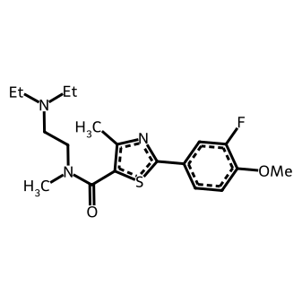 CCN(CC)CCN(C)C(=O)c1sc(-c2ccc(OC)c(F)c2)nc1C